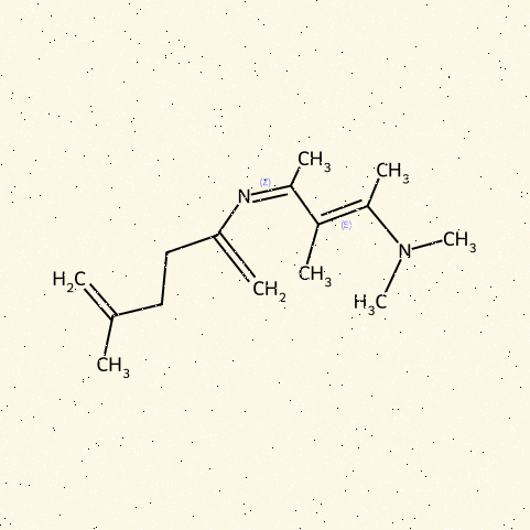 C=C(C)CCC(=C)/N=C(C)\C(C)=C(/C)N(C)C